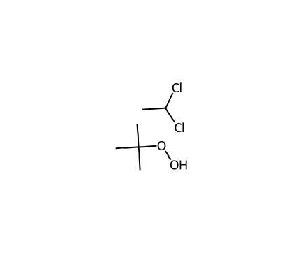 CC(C)(C)OO.CC(Cl)Cl